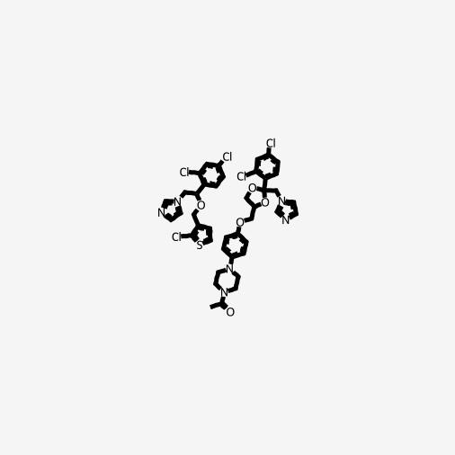 CC(=O)N1CCN(c2ccc(OCC3COC(Cn4ccnc4)(c4ccc(Cl)cc4Cl)O3)cc2)CC1.Clc1ccc(C(Cn2ccnc2)OCc2ccsc2Cl)c(Cl)c1